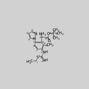 CCSC(=N)Nc1ccc(-n2cccn2)c(C(N)C(=O)OC(C)(C)C)c1C